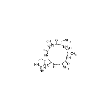 C/C=C1\NC(=O)[C@H](CN)NC(=O)[C@H](C)NC(=O)[C@@H](N)CNC(=O)[C@H](C2CCNC(=N)N2)NC1=O